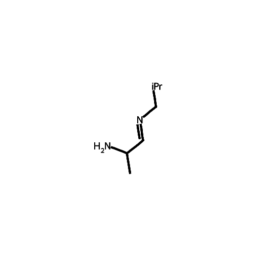 CC(N)C=NCC(C)C